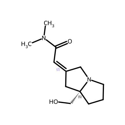 CN(C)C(=O)/C=C1\CN2CCC[C@@]2(CO)C1